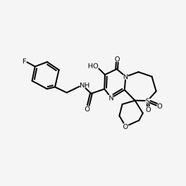 O=C(NCc1ccc(F)cc1)c1nc2n(c(=O)c1O)CCCS(=O)(=O)C21CCOCC1